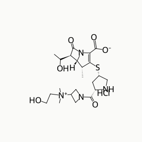 CC(O)[C@H]1C(=O)N2C(C(=O)[O-])=C(S[C@@H]3CN[C@H](C(=O)N4CC([N+](C)(C)CCO)C4)C3)[C@H](C)[C@H]12.Cl